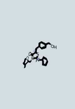 CC1C=COC1CN1C(=O)/C(=C/c2ccc(CO)cc2)S/C1=N\c1ccccc1